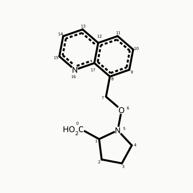 O=C(O)C1CCCN1OCc1cccc2cccnc12